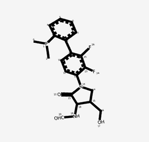 CP(C)c1ccccc1-c1ccc(N2CC(CO)C(NC=O)C2=O)c(F)c1F